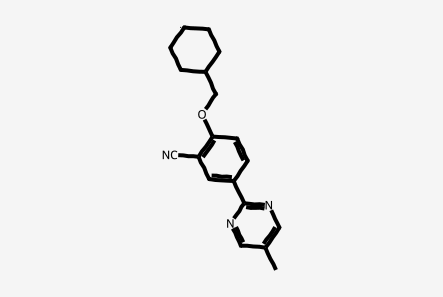 Cc1cnc(-c2ccc(OCC3CC[CH]CC3)c(C#N)c2)nc1